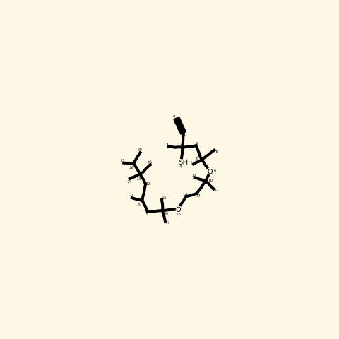 C#CC(C)(S)CC(C)(C)OC(C)(C)CCOC(C)(C)CC(C)CC(C)(C)C(C)C